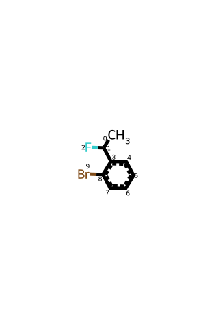 CC(F)c1ccccc1Br